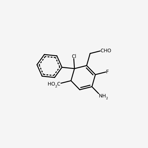 NC1=CC(C(=O)O)C(Cl)(c2ccccc2)C(CC=O)=C1F